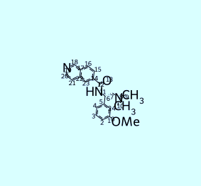 COc1cccc([C@@H](CN(C)C)NC(=O)c2ccc3cnccc3c2)c1